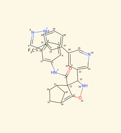 O=C(Nc1ccc2[nH]ncc2c1)C12C(=C3CCC1C3)ONC2c1cncc(-c2cccc(C(F)(F)F)c2)c1